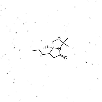 CCC[C@@H]1CC(=O)N2[C@@H]1COC2(C)C